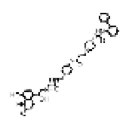 O=C(CNCC(O)c1ccc(O)c2[nH]c(=O)ccc12)NCc1ccc(NC(=O)CCN2CCC(OC(=O)Nc3ccccc3-c3ccccc3)CC2)cc1